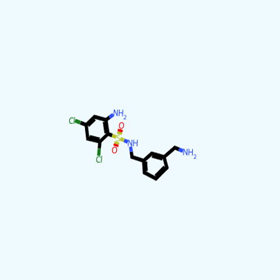 NCc1cccc(CNS(=O)(=O)c2c(N)cc(Cl)cc2Cl)c1